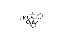 CC(C)(C)C(C(=O)O)=C(C1CCCCC1)C1CC2CCC1(C)C2(C)C